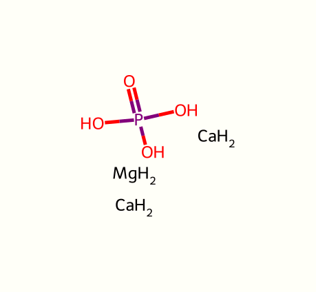 O=P(O)(O)O.[CaH2].[CaH2].[MgH2]